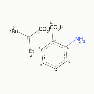 CCCCC(CC)C(=O)O.Nc1ccccc1C(=O)O